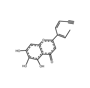 C#C/C=C\C(=C/C)c1cc(=O)c2c(O)c(O)c(O)cc2o1